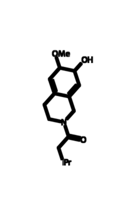 COC1C=C2CCN(C(=O)CC(C)C)CC2=CC1O